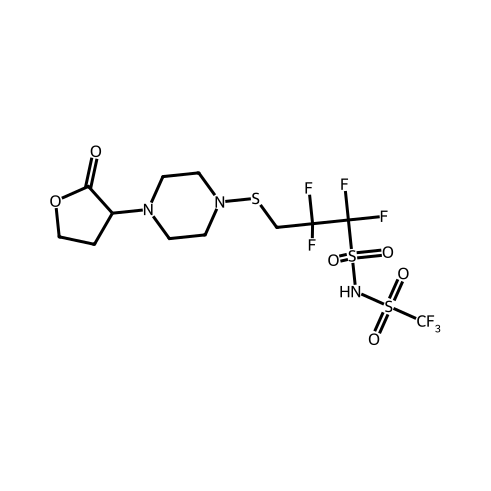 O=C1OCCC1N1CCN(SCC(F)(F)C(F)(F)S(=O)(=O)NS(=O)(=O)C(F)(F)F)CC1